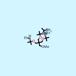 BC(C)BC(C)(C)OCC(COC)(COC(C)(C)BCC)COC(C)(C)BCC